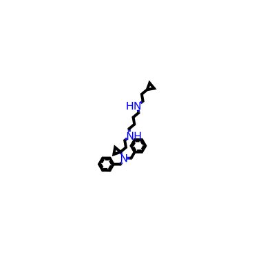 c1ccc(CN(Cc2ccccc2)C2(CCNCCCCNCCC3CC3)CC2)cc1